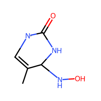 CC1=C[N]C(=O)NC1NO